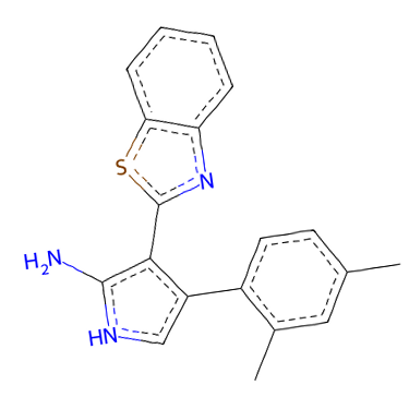 Cc1ccc(-c2c[nH]c(N)c2-c2nc3ccccc3s2)c(C)c1